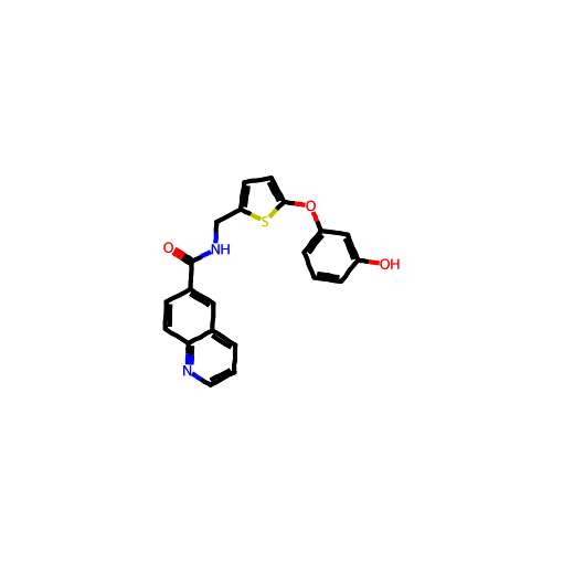 O=C(NCc1ccc(Oc2cccc(O)c2)s1)c1ccc2ncccc2c1